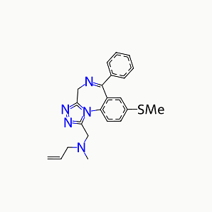 C=CCN(C)Cc1nnc2n1-c1ccc(SC)cc1C(c1ccccc1)=NC2